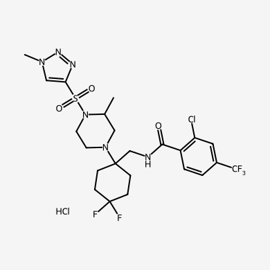 CC1CN(C2(CNC(=O)c3ccc(C(F)(F)F)cc3Cl)CCC(F)(F)CC2)CCN1S(=O)(=O)c1cn(C)nn1.Cl